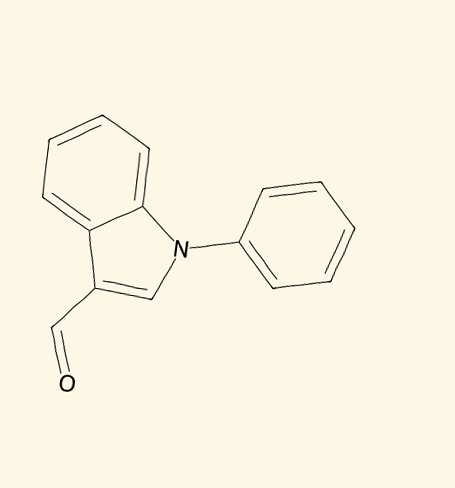 O=Cc1cn(-c2ccccc2)c2ccccc12